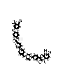 CN(C(=O)Cc1ccc(N2CCN(CC3CCN(c4ccc(C(=O)N[C@H]5CC[C@H](Oc6ccc(C#N)c(Cl)c6)CC5)nn4)CC3)CC2)nc1)C1CCC(=O)NC1=O